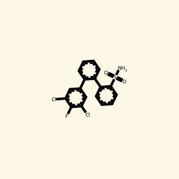 NS(=O)(=O)c1ccccc1-c1ccccc1-c1cc(Cl)c(F)c(Cl)c1